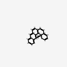 C1=CCC23C=Cc4c5ccccc5cc5ccc(c2c45)C=CC3=C1